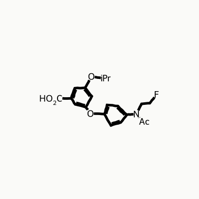 CC(=O)N(CCF)c1ccc(Oc2cc(OC(C)C)cc(C(=O)O)c2)cc1